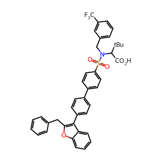 CC(C)(C)C(C(=O)O)N(Cc1cccc(C(F)(F)F)c1)S(=O)(=O)c1ccc(-c2ccc(-c3c(Cc4ccccc4)oc4ccccc34)cc2)cc1